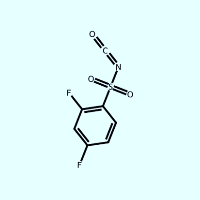 O=C=NS(=O)(=O)c1ccc(F)cc1F